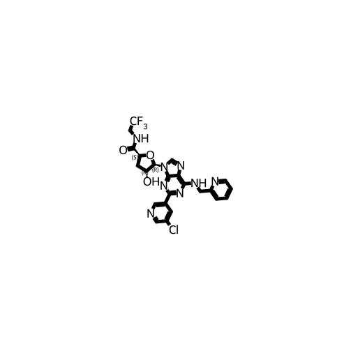 O=C(NCC(F)(F)F)[C@@H]1C[C@@H](O)[C@H](n2cnc3c(NCc4ccccn4)nc(-c4cncc(Cl)c4)nc32)O1